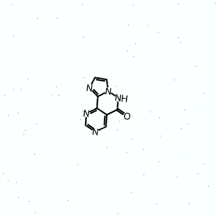 O=c1[nH]n2ccnc2c2ncncc12